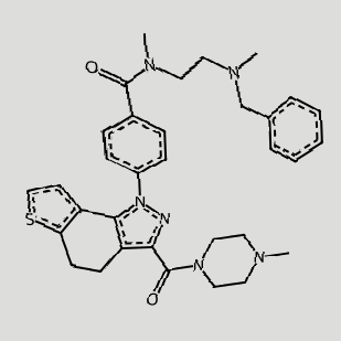 CN1CCN(C(=O)c2nn(-c3ccc(C(=O)N(C)CCN(C)Cc4ccccc4)cc3)c3c2CCc2sccc2-3)CC1